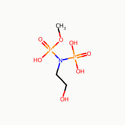 COP(=O)(O)N(CCO)P(=O)(O)O